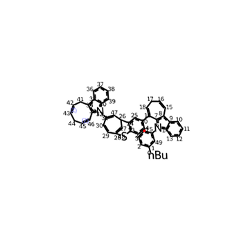 CCCCc1cccc(-n2c3c(c4ccccc42)C=CCC=C3c2ccc3c(c2)C2C=C(C=CC(n4c5c(c6ccccc64)C/C=C\C/C=C\5)=C2)S3)c1